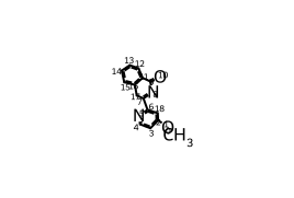 COc1ccnc(C2=NC(=O)c3ccccc3C2)c1